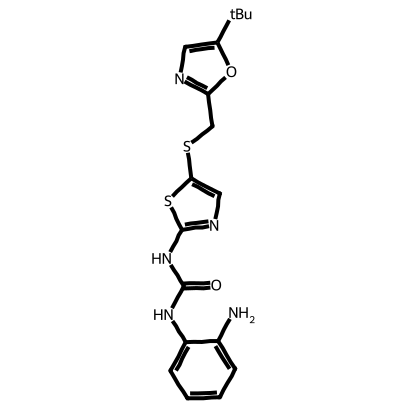 CC(C)(C)c1cnc(CSc2cnc(NC(=O)Nc3ccccc3N)s2)o1